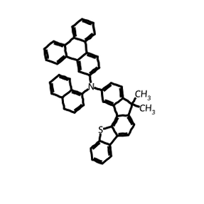 CC1(C)c2ccc(N(C3=C4C=CC=CC4CC=C3)c3ccc4c5ccccc5c5ccccc5c4c3)cc2-c2c1ccc1c2sc2ccccc21